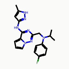 Cc1cc(Nc2nc(CN(c3ccc(F)cc3)C(C)C)nn3cccc23)n[nH]1